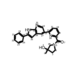 CC1(O)CCN(C(=O)c2cccc(-c3cnc4[nH]c(-c5ccccc5)cc4c3)n2)C1